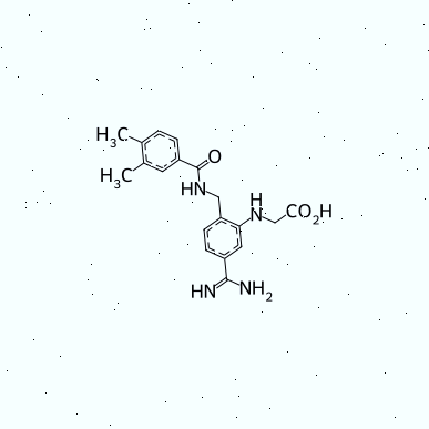 Cc1ccc(C(=O)NCc2ccc(C(=N)N)cc2NCC(=O)O)cc1C